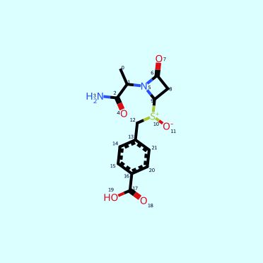 CC(C(N)=O)N1C(=O)CC1[S+]([O-])Cc1ccc(C(=O)O)cc1